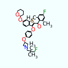 Cc1cc(F)cc(C)c1C(=O)c1sc2cc(OC3CCCCO3)ccc2c1Oc1ccc(OC2CN(CC(C)(C)CF)C2)cc1